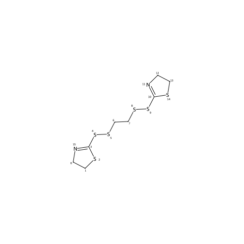 C1CSC(SSCCSSC2=NCCS2)=N1